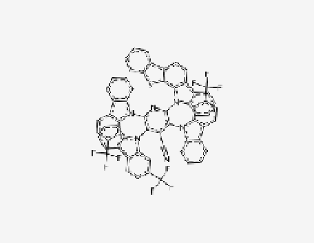 N#Cc1c(-n2c3ccccc3c3ccc(C(F)(F)F)cc32)c(-n2c3ccccc3c3ccc(C(F)(F)F)cc32)nc(-n2c3ccccc3c3ccc4c5ccccc5sc4c32)c1-n1c2ccccc2c2ccc(C(F)(F)F)cc21